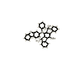 CC(C)(C)c1c2c(c(N(c3ccccc3)c3ccc4c(c3)oc3ccccc34)c3c1-c1ccccc1C3(C)C)C(C)(C)c1ccccc1-2